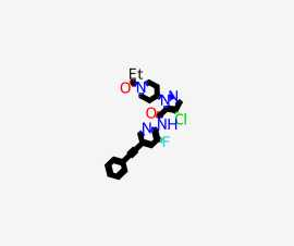 CCC(=O)N1CCC(n2ncc(Cl)c2C(=O)Nc2ncc(C#Cc3ccccc3)cc2F)CC1